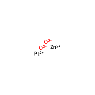 [O-2].[O-2].[Pt+2].[Zn+2]